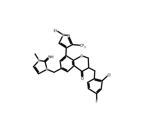 CCn1cc(-c2cc(Cn3ccn(C)c3=N)cc3c2OCC(Cc2ccc(F)cc2Cl)C3=O)c(C(F)(F)F)n1